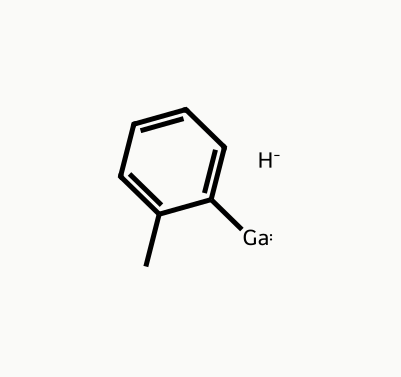 Cc1cccc[c]1[Ga].[H-]